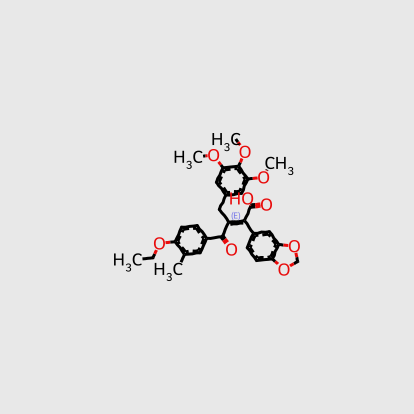 CCOc1ccc(C(=O)/C(Cc2cc(OC)c(OC)c(OC)c2)=C(/C(=O)O)c2ccc3c(c2)OCO3)cc1C